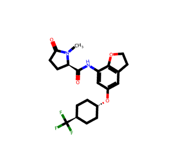 CN1C(=O)CC[C@@H]1C(=O)Nc1cc(O[C@H]2CC[C@H](C(F)(F)F)CC2)cc2c1OCC2